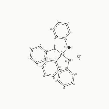 [Cl-].c1ccc(N[As+](Nc2ccccc2)(Nc2ccccc2)c2ccccc2)cc1